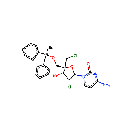 CC(C)(C)[Si](OC[C@@]1(CCl)O[C@@H](n2ccc(N)nc2=O)[C@H](Cl)[C@@H]1O)(c1ccccc1)c1ccccc1